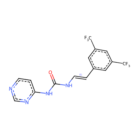 O=C(N/C=C/c1cc(C(F)(F)F)cc(C(F)(F)F)c1)Nc1ccncn1